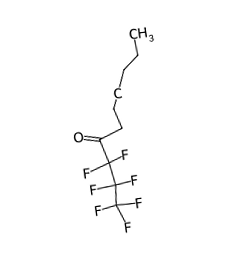 CCCCCCC(=O)C(F)(F)C(F)(F)C(F)(F)F